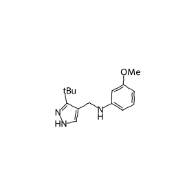 COc1cccc(NCc2c[nH]nc2C(C)(C)C)c1